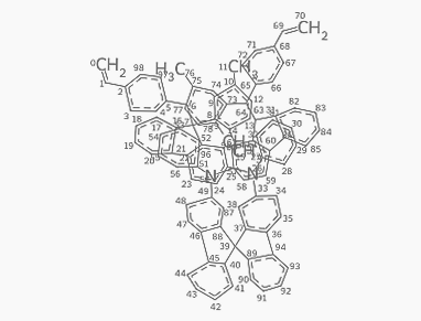 C=Cc1ccc(CC2(c3cc(C)ccc3C)c3ccccc3-c3ccc(N(c4ccccc4)c4ccc5c(c4)C4(c6ccccc6-c6ccc(N(c7ccccc7)c7ccc8c(c7)C(C(c7ccc(C=C)cc7)c7cc(C)ccc7C)c7ccccc7-8)cc64)c4ccccc4-5)cc32)cc1